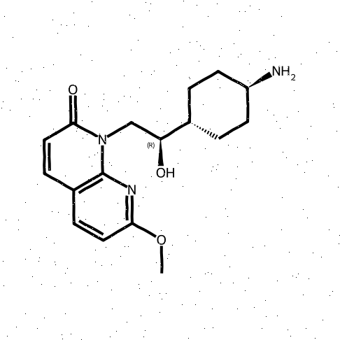 COc1ccc2ccc(=O)n(C[C@H](O)[C@H]3CC[C@H](N)CC3)c2n1